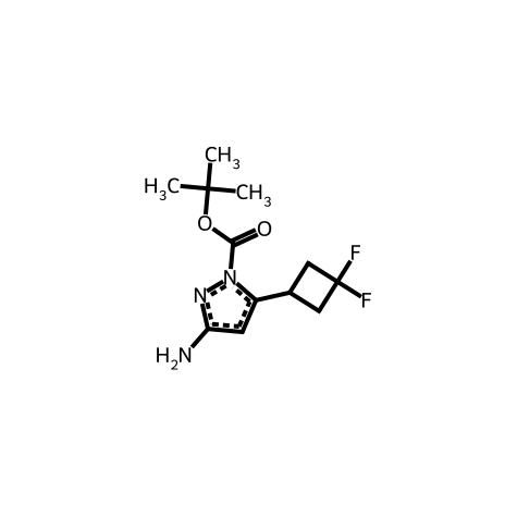 CC(C)(C)OC(=O)n1nc(N)cc1C1CC(F)(F)C1